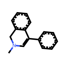 CN1C=C(c2ccccc2)c2ccccc2C1